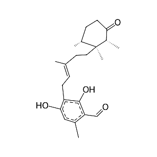 C/C(=C\Cc1c(O)cc(C)c(C=O)c1O)CC[C@@]1(C)[C@H](C)CCC(=O)[C@@H]1C